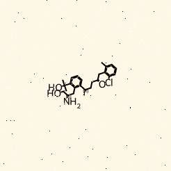 Cc1cccc(Cl)c1CC(=O)CC[C@@H](C)c1cccc(C(C)(C)O)c1C[C@@H](N)CO